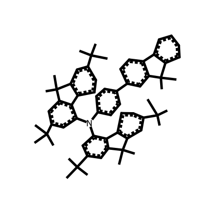 CC(C)(C)c1ccc2c(c1)C(C)(C)c1cc(C(C)(C)C)cc(N(c3ccc(-c4ccc5c(c4)C(C)(C)c4ccccc4-5)cc3)c3cc(C(C)(C)C)cc4c3-c3ccc(C(C)(C)C)cc3C4(C)C)c1-2